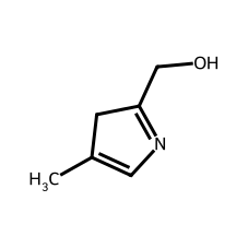 CC1=CN=C(CO)C1